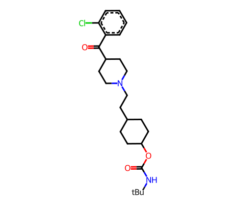 CC(C)(C)NC(=O)OC1CCC(CCN2CCC(C(=O)c3ccccc3Cl)CC2)CC1